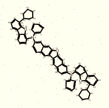 c1ccc(N(c2ccc3cc4c(cc3c2)oc2cc3cc(N(c5ccccc5)c5cccc6c5oc5c(C7CCCCC7)cccc56)ccc3cc24)c2cccc3c2oc2c(C4CCCCC4)cccc23)cc1